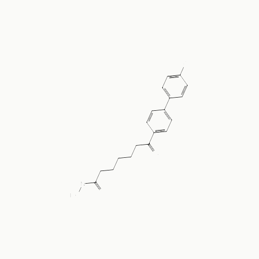 O=C(CCCCCC(=O)c1ccc(-c2ccc(Cl)cc2)cc1)NO